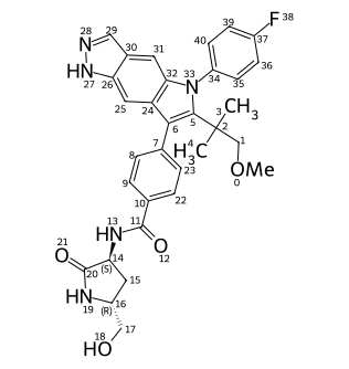 COCC(C)(C)c1c(-c2ccc(C(=O)N[C@H]3C[C@H](CO)NC3=O)cc2)c2cc3[nH]ncc3cc2n1-c1ccc(F)cc1